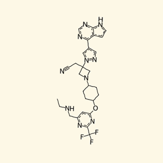 CCNCc1cc(OC2CCC(N3CC(CC#N)(n4cc(-c5ncnc6[nH]ccc56)cn4)C3)CC2)nc(C(F)(F)F)n1